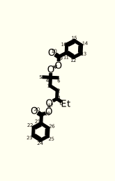 CCC(CCC(C)(C)OOC(=O)c1ccccc1)OOC(=O)c1ccccc1